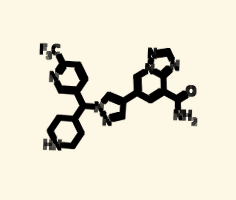 NC(=O)c1cc(-c2cnn(C(c3ccc(C(F)(F)F)nc3)C3CCNCC3)c2)cn2ncnc12